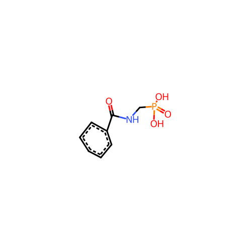 O=C(NCP(=O)(O)O)c1ccccc1